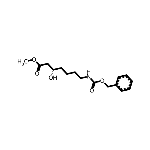 COC(=O)C[C@@H](O)CCCCNC(=O)OCc1ccccc1